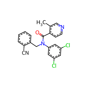 Cc1cnccc1C(=O)N(Cc1ccccc1C#N)c1cc(Cl)cc(Cl)c1